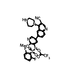 COc1ncc(-c2ccc3ncc(C#N)c(N4CCNCC4)c3c2)cc1N(OC(=O)C(F)(F)F)S(=O)(=O)c1c(F)cccc1F